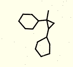 CC1(C2CCCCC2)CC1C1CCCCC1